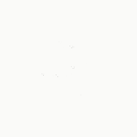 N#Cc1ncccc1-c1cc(NC(=O)c2cc(F)cc(C(F)(F)F)c2)c2c(c1)C(=O)NC2c1cc(F)ccc1Cl